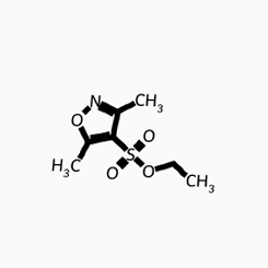 CCOS(=O)(=O)c1c(C)noc1C